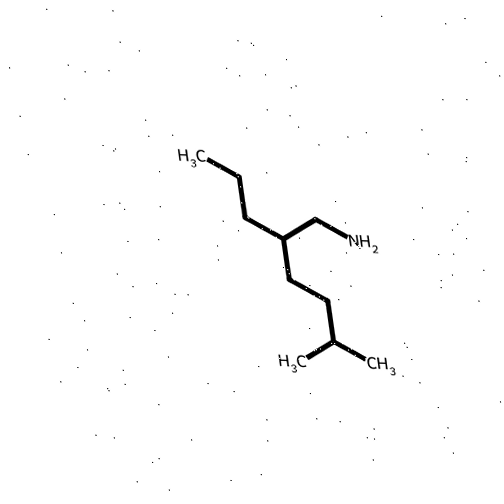 CCCC(CN)CCC(C)C